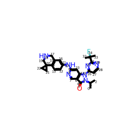 CC(C)n1c(=O)c2cnc(Nc3ccc4c(c3)CNCC43CC3)cc2n1-c1ccnc(C(C)(C)F)n1